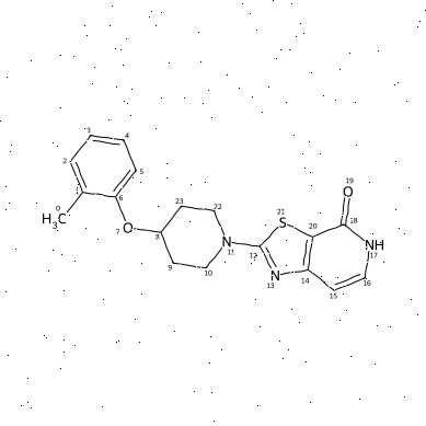 Cc1ccccc1OC1CCN(c2nc3cc[nH]c(=O)c3s2)CC1